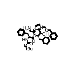 CC(C)(C)OC(=O)N[C@@H](Cc1ccccc1)C(=O)N(C(=O)CN)[C@@H](CC1CCCCC1)C(O)c1nccn1COCc1ccccc1